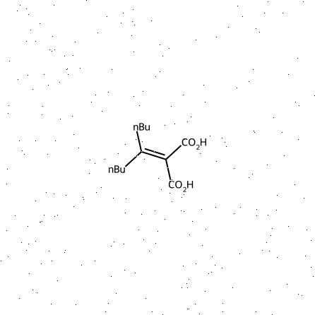 CCCCC(CCCC)=C(C(=O)O)C(=O)O